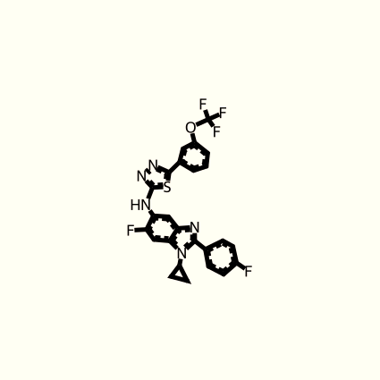 Fc1ccc(-c2nc3cc(Nc4nnc(-c5cccc(OC(F)(F)F)c5)s4)c(F)cc3n2C2CC2)cc1